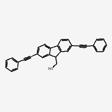 OCC1c2cc(C#Cc3ccccc3)ccc2-c2ccc(C#Cc3ccccc3)cc21